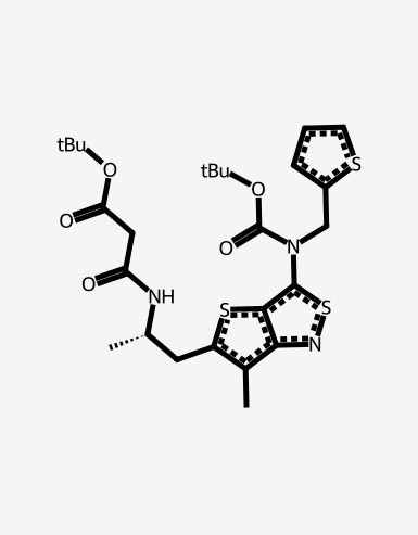 Cc1c(C[C@H](C)NC(=O)CC(=O)OC(C)(C)C)sc2c(N(Cc3cccs3)C(=O)OC(C)(C)C)snc12